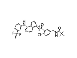 CC(C)(C)C(=O)NCc1ccc(Cl)c(C(=O)Nc2cccc3c(Nc4cccc(C(F)(F)F)c4)nccc23)c1